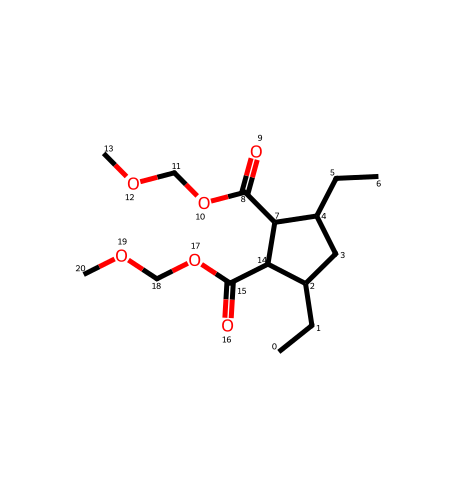 CCC1CC(CC)C(C(=O)OCOC)C1C(=O)OCOC